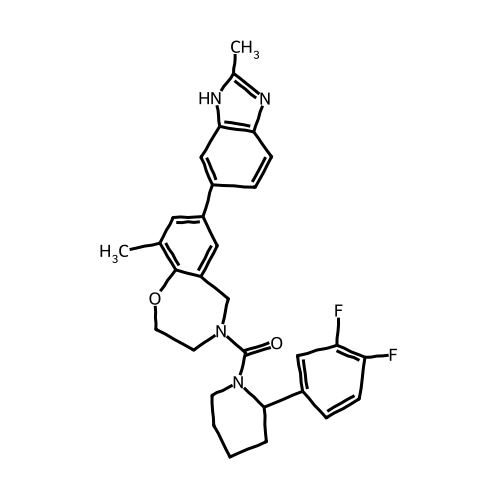 Cc1nc2ccc(-c3cc(C)c4c(c3)CN(C(=O)N3CCCCC3c3ccc(F)c(F)c3)CCO4)cc2[nH]1